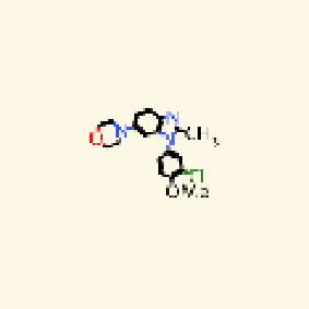 COc1ccc(-n2c(C)nc3ccc(N4CCOCC4)cc32)cc1Cl